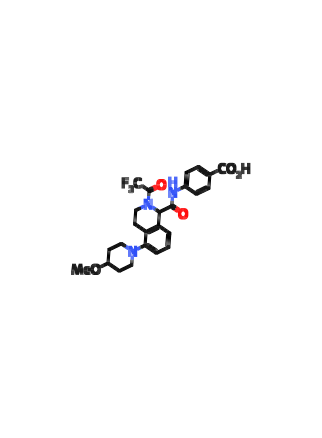 COC1CCN(c2cccc3c2CCN(C(=O)C(F)(F)F)C3C(=O)Nc2ccc(C(=O)O)cc2)CC1